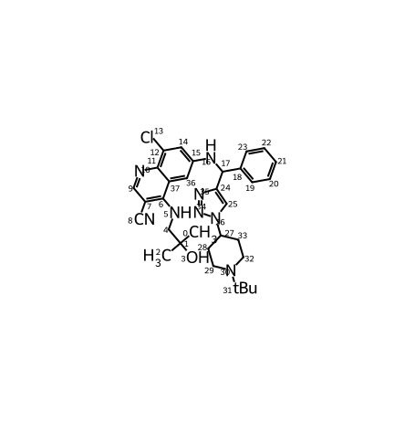 CC(C)(O)CNc1c(C#N)cnc2c(Cl)cc(NC(c3ccccc3)c3cn(C4CCN(C(C)(C)C)CC4)nn3)cc12